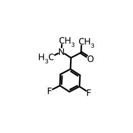 CC(=O)C(c1cc(F)cc(F)c1)N(C)C